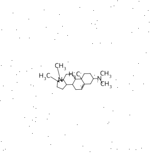 CC1C2CCC3C4CC=C5CC(N(C)C)CCC5(C)C4CCC32CN1C